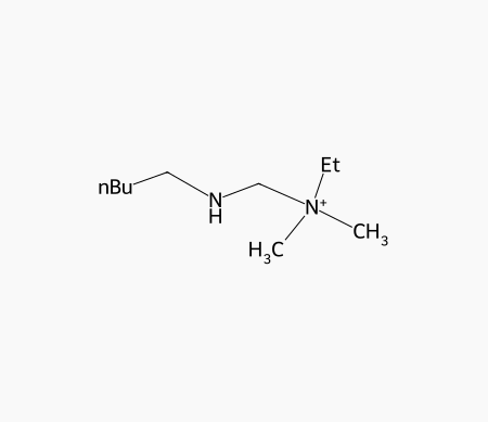 CCCCCNC[N+](C)(C)CC